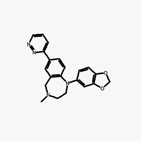 CN1CCN(c2ccc3c(c2)OCO3)c2ccc(-c3cccnn3)cc2C1